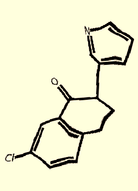 O=C1c2cc(Cl)ccc2CCC1c1cccnc1